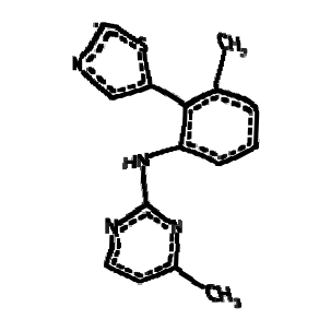 Cc1ccnc(Nc2cccc(C)c2-c2cn[c]s2)n1